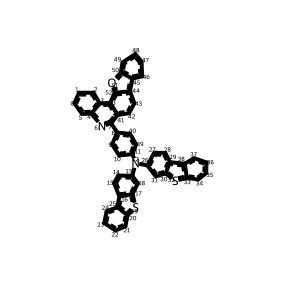 c1ccc2c(c1)nc(-c1ccc(N(c3ccc4c(c3)sc3ccccc34)c3ccc4c(c3)sc3ccccc34)cc1)c1ccc3c4ccccc4oc3c12